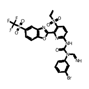 CCS(=O)(=O)c1ccc(NC(=O)N(C=N)c2cccc(Br)c2)nc1-c1nc2cc(S(=O)(=O)C(F)(F)F)ccc2o1